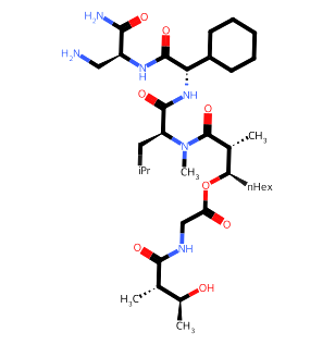 CCCCCC[C@@H](OC(=O)CNC(=O)[C@@H](C)[C@H](C)O)[C@@H](C)C(=O)N(C)[C@@H](CC(C)C)C(=O)N[C@H](C(=O)N[C@@H](CN)C(N)=O)C1CCCCC1